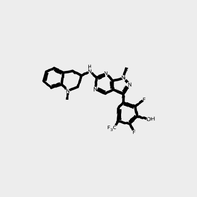 CN1CC(Nc2ncc3c(-c4cc(C(F)(F)F)c(F)c(O)c4F)nn(C)c3n2)Cc2ccccc21